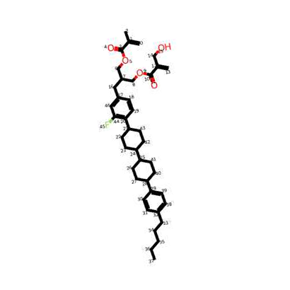 C=C(C)C(=O)OCC(COC(=O)C(=C)CO)Cc1ccc(C2CCC(C3CCC(c4ccc(CCCCC)cc4)CC3)CC2)c(F)c1